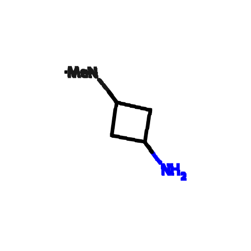 C[N]C1CC(N)C1